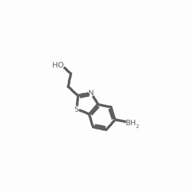 Bc1ccc2sc(CCO)nc2c1